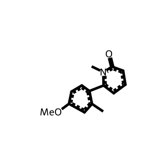 COc1ccc(-c2cccc(=O)n2C)c(C)c1